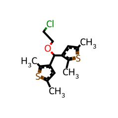 Cc1cc(C(OCCCl)c2cc(C)sc2C)c(C)s1